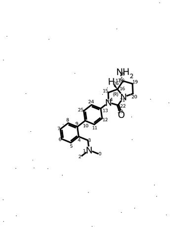 CN(C)Cc1ccccc1-c1ccc(N2C[C@@H]3[C@H](N)CCN3C2=O)cc1